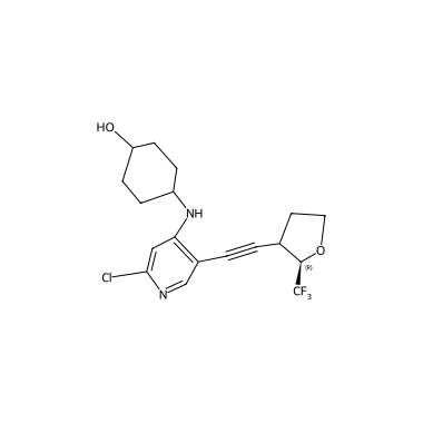 OC1CCC(Nc2cc(Cl)ncc2C#CC2CCO[C@H]2C(F)(F)F)CC1